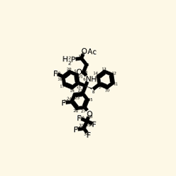 CC(=O)OC(P)CC(=O)N[C@](Cc1ccccc1)(c1ccc(F)cc1)c1cc(F)cc(OC(F)(F)C(F)F)c1